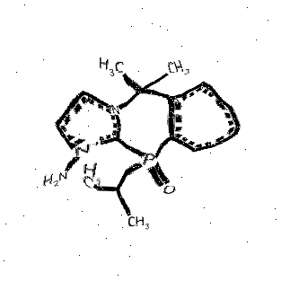 CC(C)P1(=O)c2ccccc2C(C)(C)n2cc[n+](N)c21